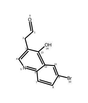 O=CCc1cnc2ccc(Br)cc2c1O